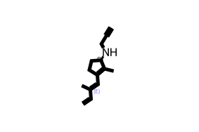 C#CCN[C@@H]1CCC(/C=C(\C)C=C)=C1C